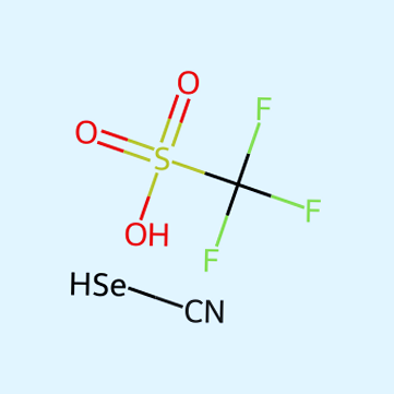 N#C[SeH].O=S(=O)(O)C(F)(F)F